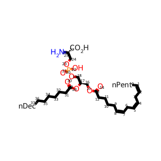 CCCCC/C=C\C/C=C\C/C=C\CCCCC(=O)OC[C@H](COP(=O)(O)OC[C@H](N)C(=O)O)OC(=O)CCCCCCCCCCCCCCCC